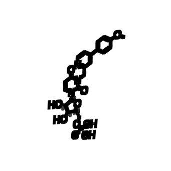 COc1ccc(-c2ccnc(Cn3c(=O)ccn([C@@H]4O[C@H](COP(=O)(O)O)[C@H](O)[C@@H]4O)c3=O)c2)cc1